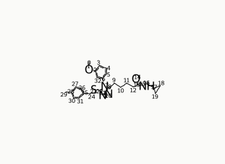 COc1cccc(-n2c(CCCCC(=O)NCC3CC3)nnc2SCc2ccc(C)cc2)c1